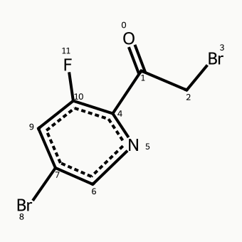 O=C(CBr)c1ncc(Br)cc1F